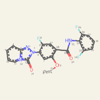 CCC[C@H](C)Oc1cc(-n2nc3ccccn3c2=O)c(F)cc1C(=O)Nc1c(F)cccc1F